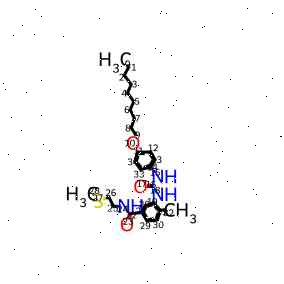 CCCCCCCCCCOc1ccc(NC(=O)Nc2cc(C(=O)NCCSC)ccc2C)cc1